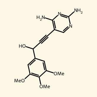 COc1cc(C(O)C#Cc2cnc(N)nc2N)cc(OC)c1OC